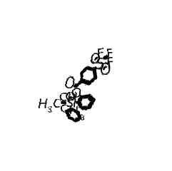 CC(C)(C)[Si](OOC(=O)C1=CCC(S(=O)(=O)C(F)(F)F)CC1)(c1ccccc1)c1ccccc1